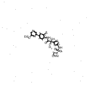 CCOc1cncc(-c2ccc(NC(=O)C(C)(C)c3csc(NS(=O)(=O)CCOC)n3)c(F)c2)n1